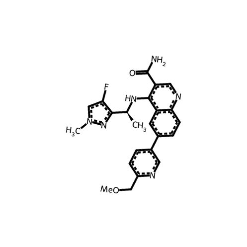 COCc1ccc(-c2ccc3ncc(C(N)=O)c(N[C@@H](C)c4nn(C)cc4F)c3c2)cn1